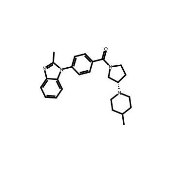 Cc1nc2ccccc2n1-c1ccc(C(=O)N2CC[C@H](N3CCC(C)CC3)C2)cc1